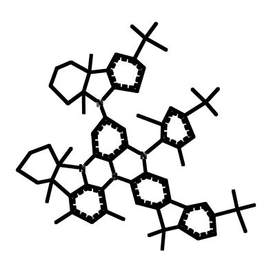 Cc1cc(C)c2c3c1B1c4cc5c(cc4N(c4c(C)cc(C(C)(C)C)cc4C)c4cc(N6c7ccc(C(C)(C)C)cc7C7(C)CCCCC67C)cc(c41)N3C1(C)CCCCC21C)-c1cc(C(C)(C)C)ccc1C5(C)C